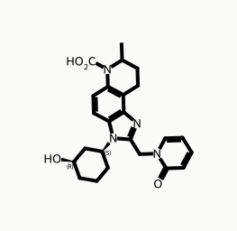 CC1CCc2c(ccc3c2nc(Cn2ccccc2=O)n3[C@H]2CCC[C@@H](O)C2)N1C(=O)O